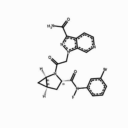 NC(=O)c1nn(CC(=O)N2[C@@H]3C[C@@H]3C[C@H]2C(=O)N(F)c2cccc(Br)c2)c2cnccc12